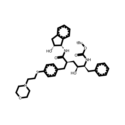 CC(C)(C)OC(=O)N[C@@H](Cc1ccccc1)[C@@H](O)C[C@@H](Cc1ccc(SCCN2CCOCC2)cc1)C(=O)N[C@H]1c2ccccc2C[C@H]1O